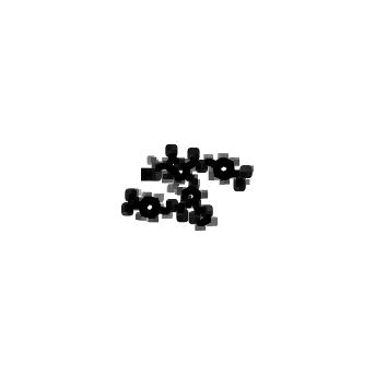 C[C@@H](O)[C@H]1C(=O)N2C(C(=O)OCc3ccc([N+](=O)[O-])cc3)=C(S[C@H]3C[C@@H](C4OCCO4)N(C(=O)OCc4ccc([N+](=O)[O-])cc4)C3)[C@H](C)[C@H]12